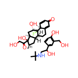 CC(C)(C)NCC(O)c1ccc(O)c(CO)c1.C[C@@H]1C[C@H]2[C@@H]3CCC4=CC(=O)C=C[C@]4(C)[C@@]3(F)[C@@H](O)C[C@]2(C)[C@@]1(O)C(=O)CO